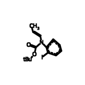 CC=CN(C(=O)OC(C)(C)C)c1ccccc1I